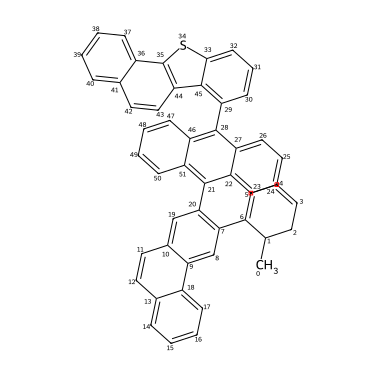 CC1CC=CC=C1c1cc2c(ccc3ccccc32)cc1-c1c2ccccc2c(-c2cccc3sc4c5ccccc5ccc4c23)c2ccccc12